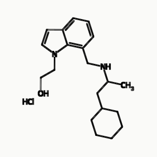 CC(CC1CCCCC1)NCc1cccc2ccn(CCO)c12.Cl